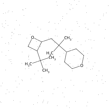 CC(C)(C)C1COC1CC(C)(C)C1CCOCC1